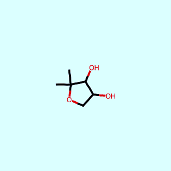 CC1(C)OCC(O)C1O